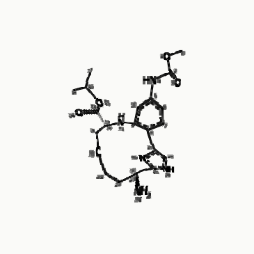 COC(=O)Nc1ccc2c(c1)N[C@@H](C(=O)OC(C)C)CCCC[C@H](N)c1nc-2c[nH]1